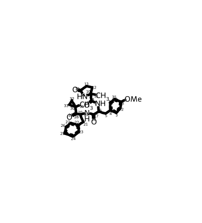 COc1ccc(CC(NC(=O)C2(C)CCC(=O)N2)C(=O)NC(Cc2ccccc2)C(=O)C2(C)CC2)cc1